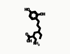 CCC(CCCc1ccc(O)cc1O)CC(CN)C(=O)O